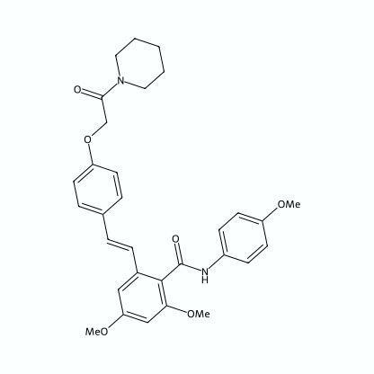 COc1ccc(NC(=O)c2c(/C=C/c3ccc(OCC(=O)N4CCCCC4)cc3)cc(OC)cc2OC)cc1